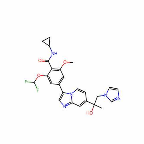 COc1cc(-c2cnc3cc(C(C)(O)Cn4ccnc4)ccn23)cc(OC(F)F)c1C(=O)NC1CC1